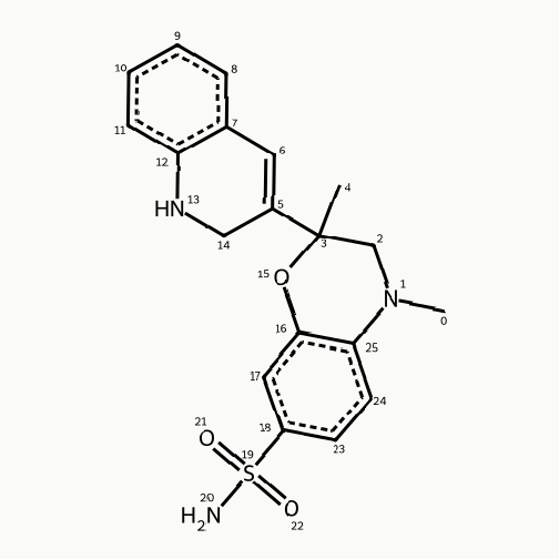 CN1CC(C)(C2=Cc3ccccc3NC2)Oc2cc(S(N)(=O)=O)ccc21